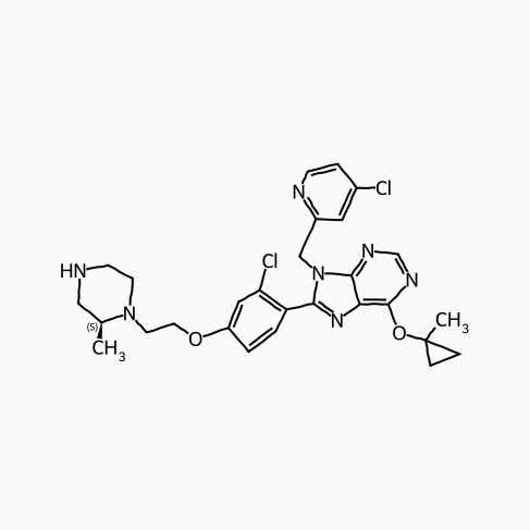 C[C@H]1CNCCN1CCOc1ccc(-c2nc3c(OC4(C)CC4)ncnc3n2Cc2cc(Cl)ccn2)c(Cl)c1